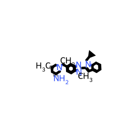 C=C(c1ccc2c(c1)nc(C1=CC3=CC=CCC3N1CC1CC1)n2C)N1C[C@@H](C)C[C@@H](N)C1